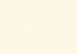 [c]1cc[c]c2nc3ccccc3cc12